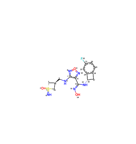 N=[S@]1(=O)C[C@@H](CNc2nonc2/C(=N/O)N[C@H]2Cc3ccc(F)cc32)C1